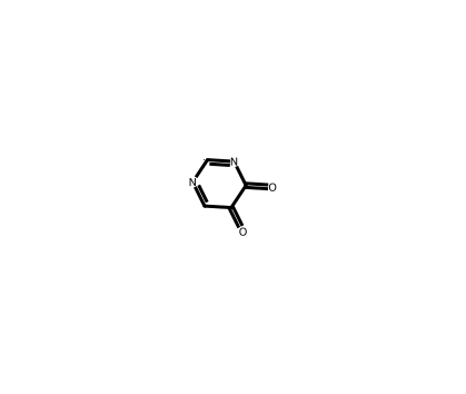 O=C1C=N[C]=NC1=O